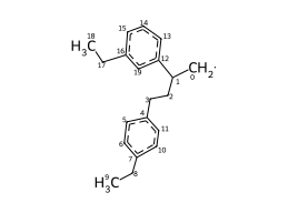 [CH2]C(CCc1ccc(CC)cc1)c1cccc(CC)c1